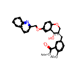 COC(=O)c1cc(C[C@@H]2COc3ccc(OCc4ccc5ccccc5n4)cc3[C@H]2O)ccc1OC